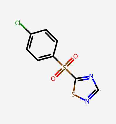 O=S(=O)(c1ccc(Cl)cc1)c1n[c]ns1